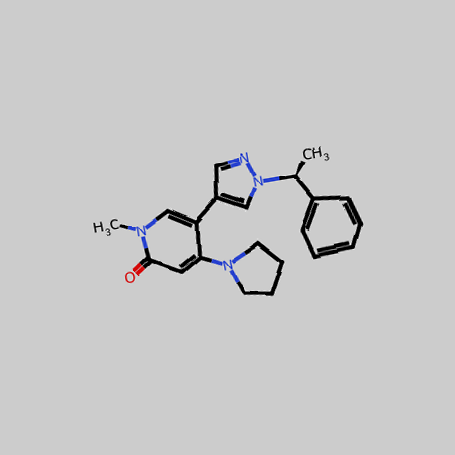 C[C@@H](c1ccccc1)n1cc(-c2cn(C)c(=O)cc2N2CCCC2)cn1